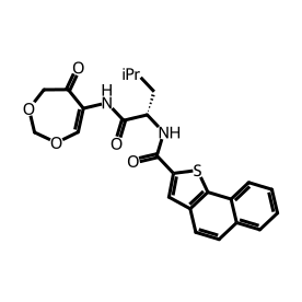 CC(C)C[C@H](NC(=O)c1cc2ccc3ccccc3c2s1)C(=O)NC1=COCOCC1=O